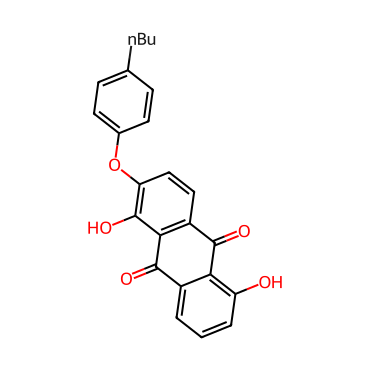 CCCCc1ccc(Oc2ccc3c(c2O)C(=O)c2cccc(O)c2C3=O)cc1